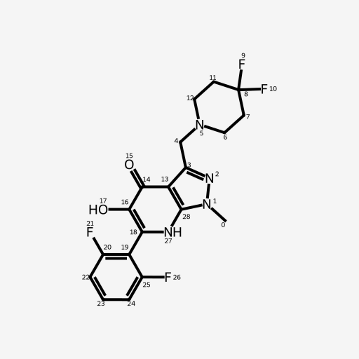 Cn1nc(CN2CCC(F)(F)CC2)c2c(=O)c(O)c(-c3c(F)cccc3F)[nH]c21